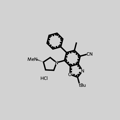 CN[C@H]1CCN(c2c(-c3ccccc3)c(C)c(C#N)c3nc(C(C)(C)C)oc23)C1.Cl